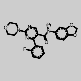 CC(C)N(C(=O)c1cnc(N2CCOCC2)nc1-c1ccccc1F)c1ccc2c(c1)OCO2